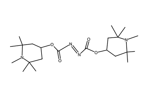 CN1C(C)(C)CC(OC(=O)N=NC(=O)OC2CC(C)(C)N(C)C(C)(C)C2)CC1(C)C